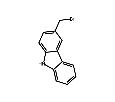 BrCc1ccc2[nH]c3ccccc3c2c1